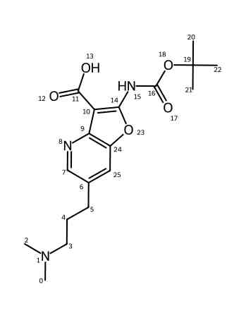 CN(C)CCCc1cnc2c(C(=O)O)c(NC(=O)OC(C)(C)C)oc2c1